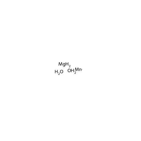 O.O.[MgH2].[Mn]